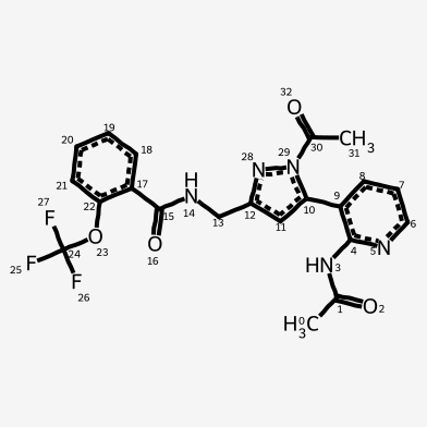 CC(=O)Nc1ncccc1-c1cc(CNC(=O)c2ccccc2OC(F)(F)F)nn1C(C)=O